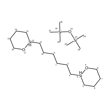 C(CCC[SiH]1CCCCO1)CC[SiH]1CCCCO1.C[Si](C)(C)O[Si](C)(C)C